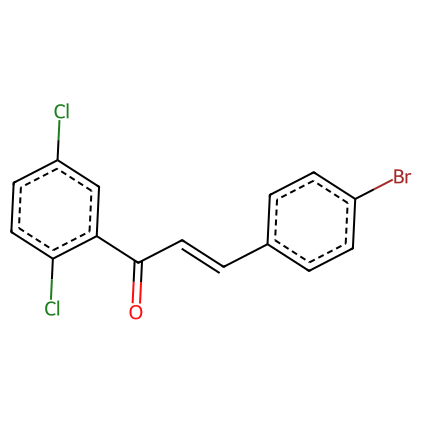 O=C(C=Cc1ccc(Br)cc1)c1cc(Cl)ccc1Cl